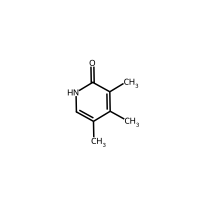 Cc1c[nH]c(=O)c(C)c1C